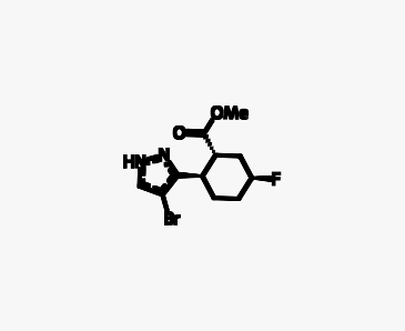 COC(=O)[C@@H]1C[C@@H](F)CC[C@H]1c1n[nH]cc1Br